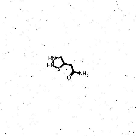 NC(=O)CC1CNNS1